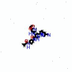 N#Cc1cnn2c(-c3cc(Nc4cnc5c(c4)OCCO5)c(C(=O)NC4CCC(NC(=O)C5CC5)CC4)cn3)ccc2c1